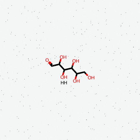 O=CC(O)C(O)C(O)C(O)CO.[HH]